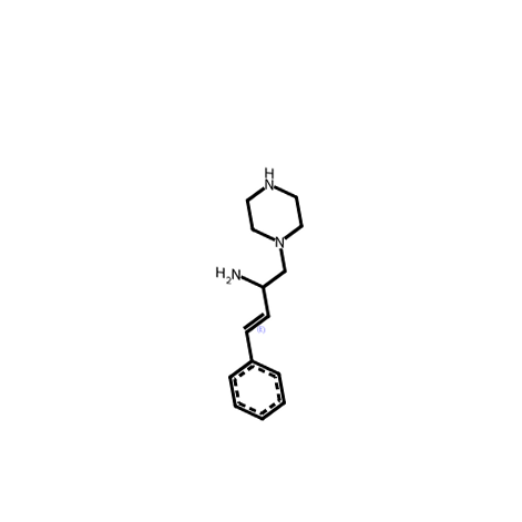 NC(/C=C/c1ccccc1)CN1CCNCC1